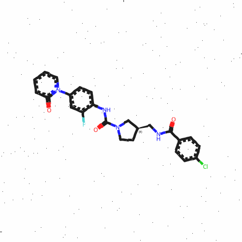 O=C(NC[C@H]1CCN(C(=O)Nc2ccc(-n3ccccc3=O)cc2F)C1)c1ccc(Cl)cc1